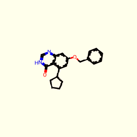 O=c1[nH]cnc2cc(OCc3ccccc3)cc(C3CCCC3)c12